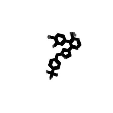 Nc1ncnc(-c2cnn(Cc3ccc(C(F)(F)F)cc3)c2)c1-c1ccc(Cl)c(F)c1